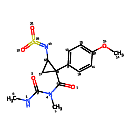 CNC(=O)N(C)C(=O)C1(c2ccc(OC)cc2)CC1N=S(=O)=O